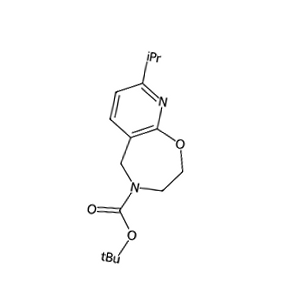 CC(C)c1ccc2c(n1)OCCN(C(=O)OC(C)(C)C)C2